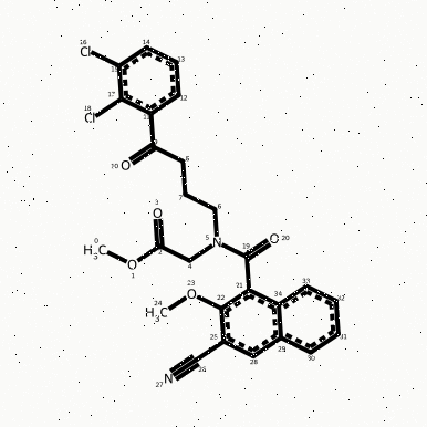 COC(=O)CN(CCCC(=O)c1cccc(Cl)c1Cl)C(=O)c1c(OC)c(C#N)cc2ccccc12